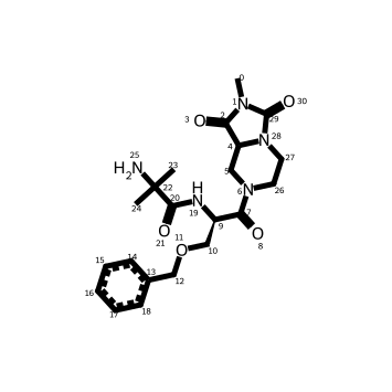 CN1C(=O)C2CN(C(=O)[C@@H](COCc3ccccc3)NC(=O)C(C)(C)N)CCN2C1=O